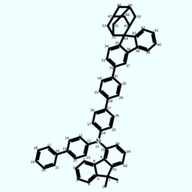 CC1(C)c2ccccc2-c2c(N(c3ccc(-c4ccccc4)cc3)c3ccc(-c4ccc(-c5ccc6c(c5)-c5ccccc5C65C6CC7CC(C6)CC5C7)cc4)cc3)cccc21